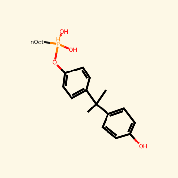 CCCCCCCC[PH](O)(O)Oc1ccc(C(C)(C)c2ccc(O)cc2)cc1